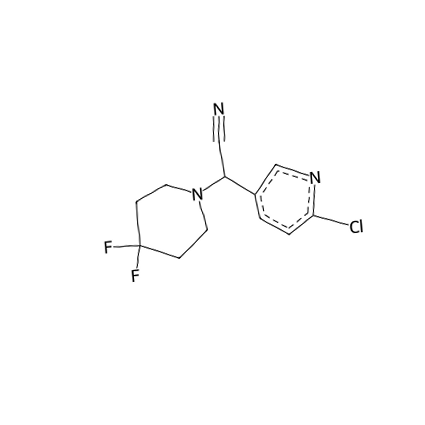 N#CC(c1ccc(Cl)nc1)N1CCC(F)(F)CC1